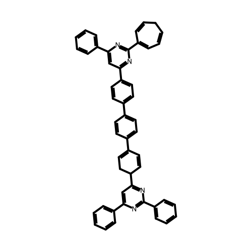 C1=CCC=CC(c2nc(-c3ccccc3)cc(-c3ccc(-c4ccc(C5=CCC(c6cc(-c7ccccc7)nc(-c7ccccc7)n6)C=C5)cc4)cc3)n2)=C1